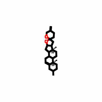 C=C1CCC2(CC3C(CC4C5CC=C6CC(C)CC[C@]6(C)C5CC[C@]34C)O2)OC1